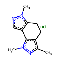 Cc1nn(C)c2c1CCc1c-2cnn1C.Cl